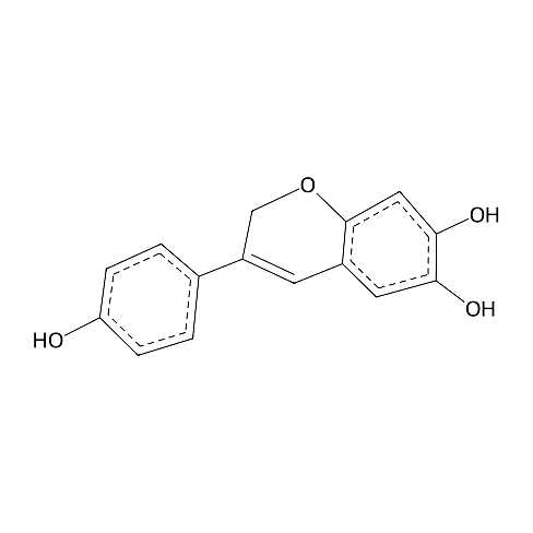 Oc1ccc(C2=Cc3cc(O)c(O)cc3OC2)cc1